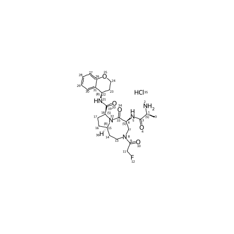 C[C@H](N)C(=O)N[C@H]1CN(C(=O)CF)CC[C@H]2CC[C@@H](C(=O)N[C@@H]3CCOc4ccccc43)N2C1=O.Cl